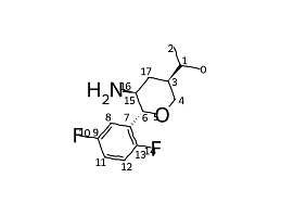 CC(C)[C@H]1CO[C@H](c2cc(F)ccc2F)[C@@H](N)C1